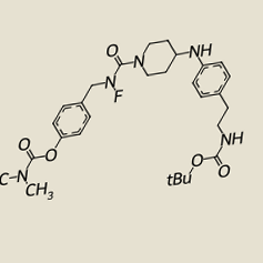 CN(C)C(=O)Oc1ccc(CN(F)C(=O)N2CCC(Nc3ccc(CCNC(=O)OC(C)(C)C)cc3)CC2)cc1